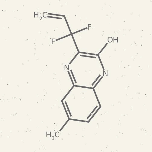 C=CC(F)(F)c1nc2cc(C)ccc2nc1O